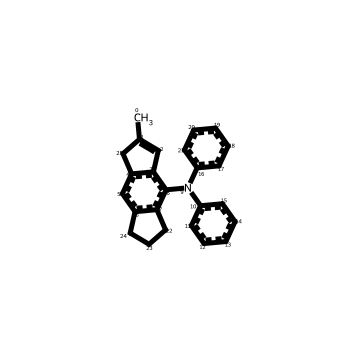 CC1=Cc2c(cc3c(c2N(c2ccccc2)c2ccccc2)CCC3)C1